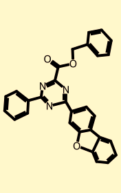 O=C(OCc1ccccc1)c1nc(-c2ccccc2)nc(-c2ccc3c(c2)oc2ccccc23)n1